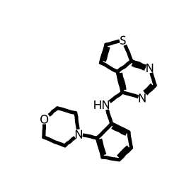 c1ccc(N2CCOCC2)c(Nc2ncnc3sccc23)c1